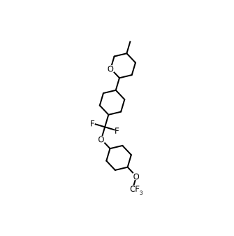 CC1CCC(C2CCC(C(F)(F)OC3CCC(OC(F)(F)F)CC3)CC2)OC1